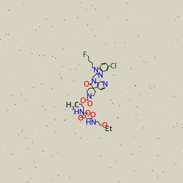 CCOCCNC(=O)CS(=O)(=O)NC[C@@H](C)OC(=O)N1CCC2(CC1)C(=O)N(Cc1nc3cc(Cl)ccc3n1CCCCF)c1cnccc12